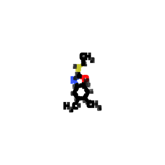 C=CSc1nc2cc(C)c(C)cc2o1